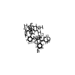 C[C@H]1CNC[C@H](CCc2c(F)cccc2NC(=O)[C@@H](N)C(c2ccc(F)cc2)C2CCOCC2)N1S(=O)(=O)C1CC1